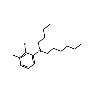 CCCCCCN(CCCC)c1cccc(I)c1F